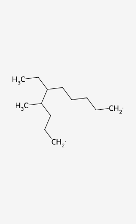 [CH2]CCCCC(CC)C(C)CC[CH2]